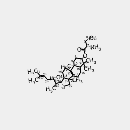 CC[C@H](C)C[C@H](N)C(=O)O[C@H]1CC[C@]2(C)C3=C(CCC2C1(C)C)[C@]1(C)CC[C@H]([C@H](C)CCC=C(C)C)[C@@]1(C)CC3